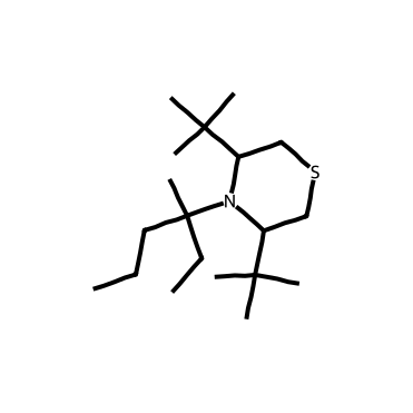 CCCC(C)(CC)N1C(C(C)(C)C)CSCC1C(C)(C)C